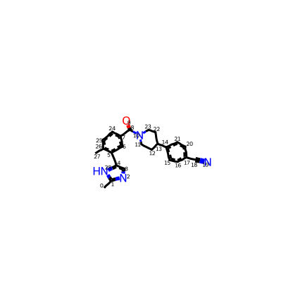 Cc1ncc(-c2cc(C(=O)N3CCC(c4ccc(C#N)cc4)CC3)ccc2C)[nH]1